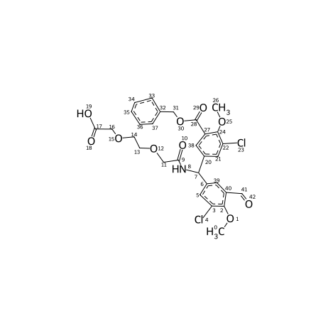 COc1c(Cl)cc(C(NC(=O)COCCOCC(=O)O)c2cc(Cl)c(OC)c(C(=O)OCc3ccccc3)c2)cc1C=O